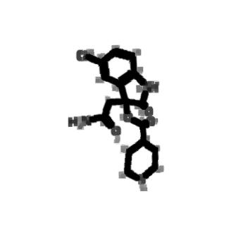 NC(=O)CC1(OC(=O)C2CCSCC2)C(=O)Nc2ccc(Cl)cc21